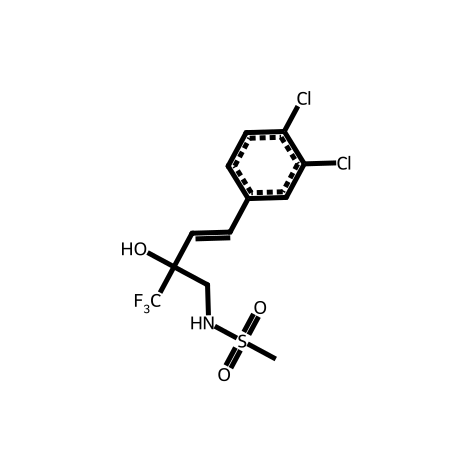 CS(=O)(=O)NCC(O)(/C=C/c1ccc(Cl)c(Cl)c1)C(F)(F)F